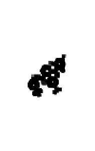 Cc1cc(F)cc(F)c1C(=O)N1CCC[C@H](C(=O)Nc2cccc(C(C)(C)C)c2)[C@@H]1c1ccc(N(C)C)cc1